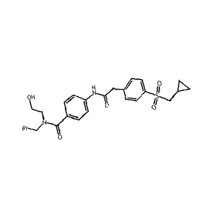 CC(C)CN(CCO)C(=O)c1ccc(NC(=O)Cc2ccc(S(=O)(=O)CC3CC3)cc2)cc1